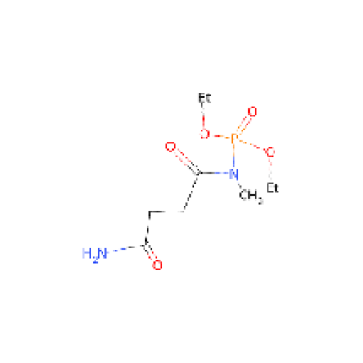 CCOP(=O)(OCC)N(C)C(=O)CCC(N)=O